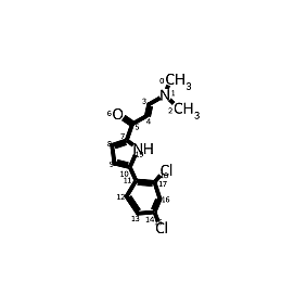 CN(C)C=CC(=O)c1ccc(-c2ccc(Cl)cc2Cl)[nH]1